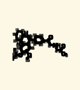 COC(=O)CNCC(=O)c1ccc(C2=N[C@@H]3CCCC[C@@H]3c3cc(OC(F)F)c(OC)cc32)cc1